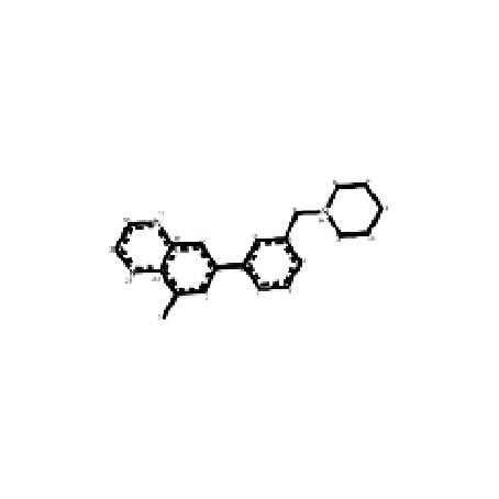 Cc1cc(-c2cccc(CN3CCCCC3)c2)cc2nccnc12